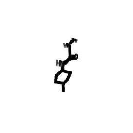 CC1CCC(NC(=O)NC(C)C)CC1